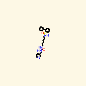 O=C(NCCCCCCN[S+]([O-])c1ccccc1-c1ccccc1)NCc1cccnc1